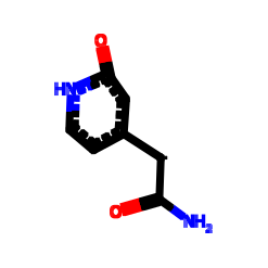 NC(=O)[CH]c1cc[nH]c(=O)c1